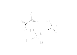 CC[S+](=O)(CC)CC.CC[S+](=O)(CC)CC.O=C([O-])C(=O)[O-]